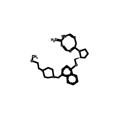 C=C1/N=C\N=C(\N2CCC[C@@H]2COc2ccc(CN3CCN(CCOC)CC3)c3ccccc23)C/N=C\N1